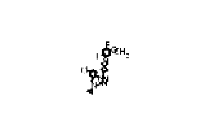 COc1cc(N2CC3(CC(c4nnc5n4-c4ccc(Cl)cc4CN(C4CC4)C5)C3)C2)c(F)cc1F